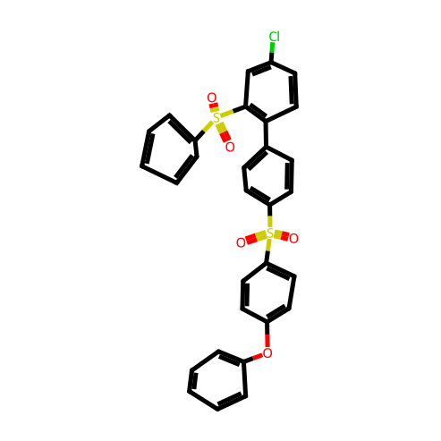 O=S(=O)(c1ccc(Oc2ccccc2)cc1)c1ccc(-c2ccc(Cl)cc2S(=O)(=O)c2ccccc2)cc1